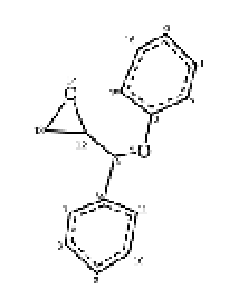 c1ccc(OC(c2ccccc2)C2CO2)cc1